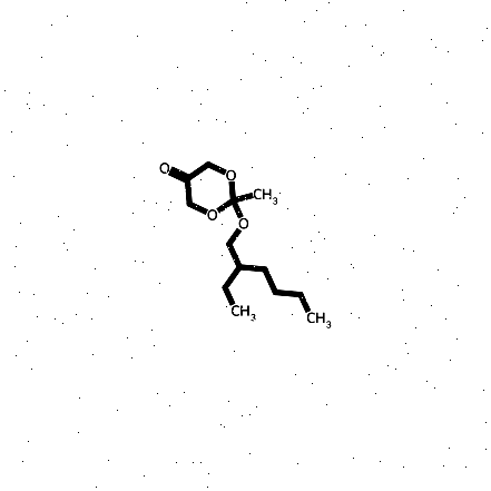 CCCCC(CC)COC1(C)OCC(=O)CO1